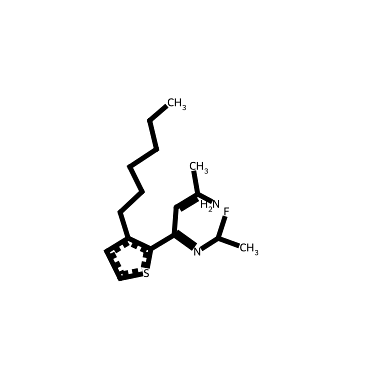 CCCCCCc1ccsc1C(/C=C(/C)N)=N/C(C)F